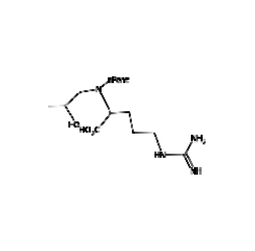 CCCCCN(CC(C)O)C(CCCNC(=N)N)C(=O)O